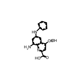 Cl.Nc1cc(Nc2ccccc2)cc2c(O)cc(C(=O)O)nc12